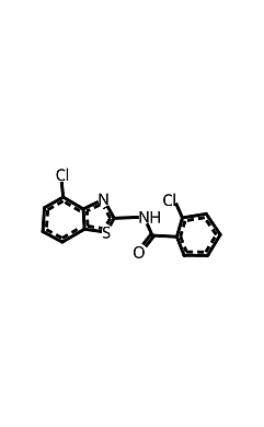 O=C(Nc1nc2c(Cl)cccc2s1)c1ccccc1Cl